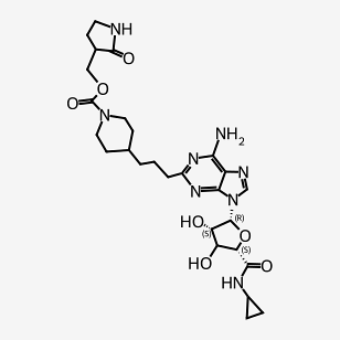 Nc1nc(CCCC2CCN(C(=O)OCC3CCNC3=O)CC2)nc2c1ncn2[C@@H]1O[C@H](C(=O)NC2CC2)C(O)[C@@H]1O